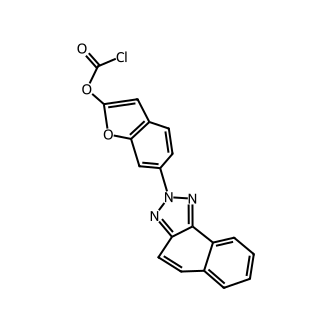 O=C(Cl)Oc1cc2ccc(-n3nc4ccc5ccccc5c4n3)cc2o1